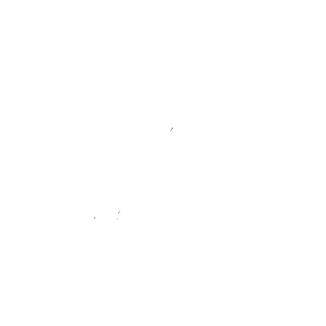 C=CCC/C=C/[C@H]1CC[C@H]([C@H]2CC[C@H]([SiH2]CCC)CC2)CC1